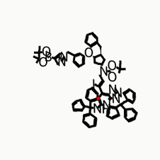 CC(C)(C)OC(=O)N(C/C=C(\I)c1cc(NC(c2ccccc2)(c2ccccc2)c2ccccc2)nc2c1nnn2C(c1ccccc1)(c1ccccc1)c1ccccc1)[C@H]1C[C@H](Cc2ccccc2)[C@H](Oc2cccc(Cn3cc(B4OC(C)(C)C(C)(C)O4)cn3)c2)C1